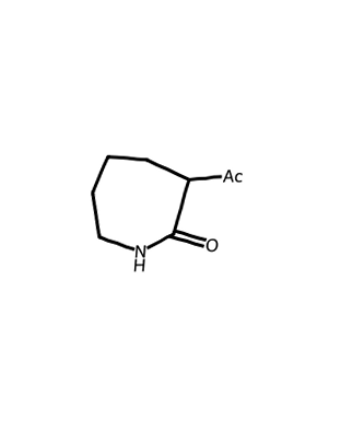 CC(=O)C1CCCCNC1=O